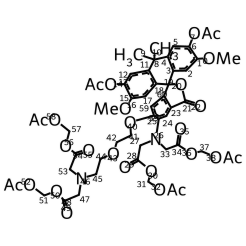 COc1cc2c(cc1OC(C)=O)C(C)(C)c1cc(OC(C)=O)c(OC)cc1C21OC(=O)c2cc(N(CC(=O)OCOC(C)=O)CC(=O)OCOC(C)=O)c(OCCOCCN(CC(=O)OCOC(C)=O)CC(=O)OCOC(C)=O)cc21